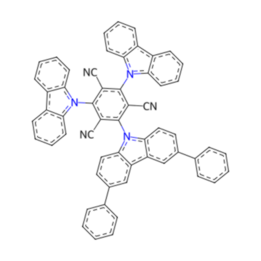 N#Cc1c(-n2c3ccccc3c3ccccc32)c(C#N)c(-n2c3ccc(-c4ccccc4)cc3c3cc(-c4ccccc4)ccc32)c(C#N)c1-n1c2ccccc2c2ccccc21